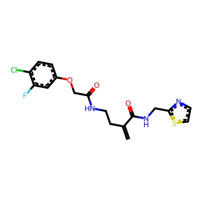 C=C(CCNC(=O)COc1ccc(Cl)c(F)c1)C(=O)NCc1nccs1